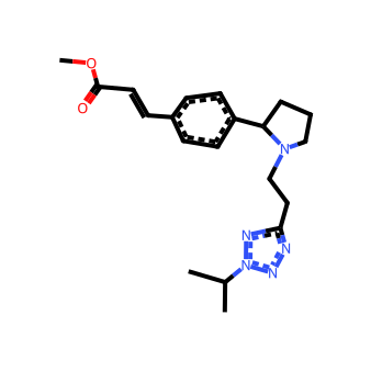 COC(=O)C=Cc1ccc(C2CCCN2CCc2nnn(C(C)C)n2)cc1